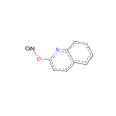 O=NOc1ccc2ccccc2n1